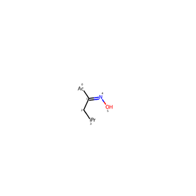 CC(=O)C(CC(C)C)=NO